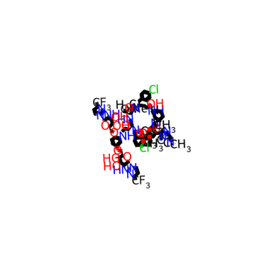 COC[C@@H]1NC(=O)[C@H](CCCNc2cc(OC[C@H]3OC[C@H](Nc4nccc(C(F)(F)F)n4)[C@@H](O)[C@H]3O)ccc2OC[C@H]2OC[C@H](Nc3nccc(C(F)(F)F)n3)[C@@H](O)[C@H]2O)N(Cc2ccc(Cl)cc2Oc2ccc(-c3cnc(CN(C)C)n3C)cc2)C(=O)C[C@@H](Cc2ccccc2)C(=O)N(C)[C@H]2CCCC[C@@H]2NC(O)C[C@H](Cc2ccc(Cl)cc2)N(C)C1=O